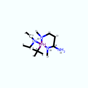 CCN(CC)[PH]1(C(C)(C)C)N(C)CCC(N)N1C